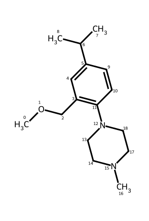 COCc1cc(C(C)C)ccc1N1CCN(C)CC1